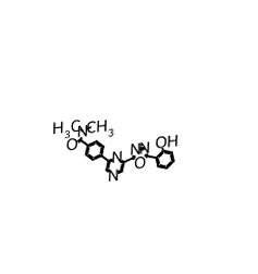 CN(C)C(=O)c1ccc(-c2cncc(-c3nnc(-c4ccccc4O)o3)n2)cc1